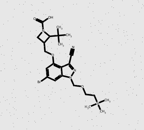 CC(C)(C)C1C(COc2cc(Br)cc3c2c(C#N)nn3COCC[Si](C)(C)C)CN1C(=O)O